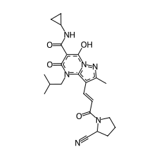 Cc1nn2c(O)c(C(=O)NC3CC3)c(=O)n(CC(C)C)c2c1C=CC(=O)N1CCCC1C#N